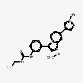 CCCn1cc(-c2ccn3c(-c4cccc(NC(=O)NCC(F)(F)F)c4)cnc3c2)cn1.O=CO